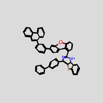 c1ccc(-c2ccc(C3=C4Sc5ccccc5C4NC(c4cccc5oc6cc(-c7cccc(-c8cc9ccccc9c9ccccc89)c7)ccc6c45)=N3)cc2)cc1